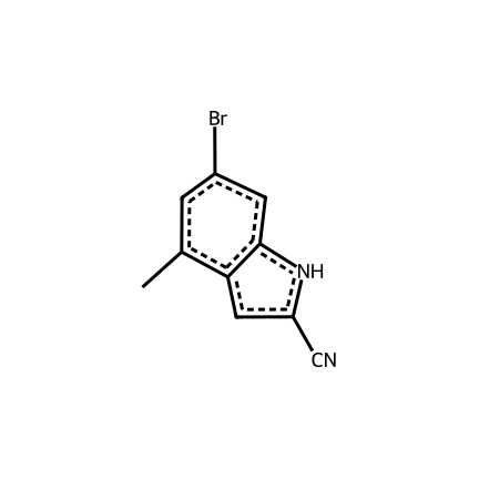 Cc1cc(Br)cc2[nH]c(C#N)cc12